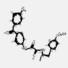 COc1ccc(CC(C)NC(=O)C(=O)Nc2ccc(C(=O)c3ccc(O)cc3)cc2)cc1